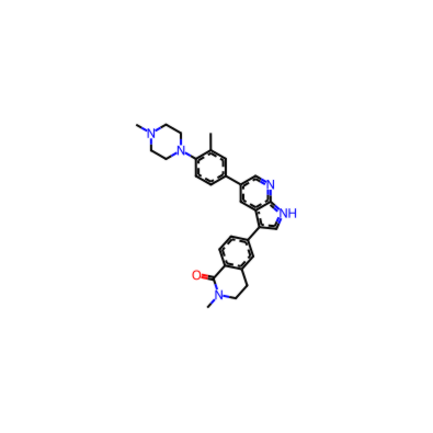 Cc1cc(-c2cnc3[nH]cc(-c4ccc5c(c4)CCN(C)C5=O)c3c2)ccc1N1CCN(C)CC1